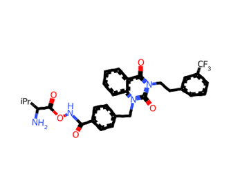 CC(C)C(N)C(=O)ONC(=O)c1ccc(Cn2c(=O)n(CCc3cccc(C(F)(F)F)c3)c(=O)c3ccccc32)cc1